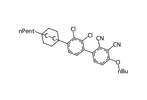 CCCCCC12CCC(c3ccc(-c4ccc(OCCCC)c(C#N)c4C#N)c(Cl)c3Cl)(CC1)CC2